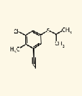 Cc1c(Cl)cc(SC(C)C)cc1C#N